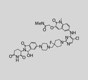 CNC(=O)COc1cc2cc(Nc3nc(N4CCC(F)(CN5CCN(c6ccc7c(c6)C(O)N(C6CCC(=O)NC6=O)C7=O)CC5)CC4)ncc3Cl)ccc2n(C)c1=O